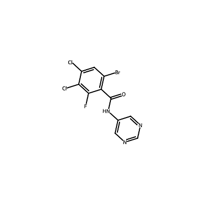 O=C(Nc1cncnc1)c1c(Br)cc(Cl)c(Cl)c1F